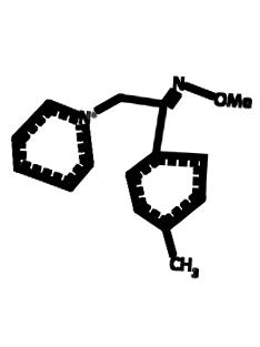 CO/N=C(/C[n+]1ccccc1)c1ccc(C)cc1